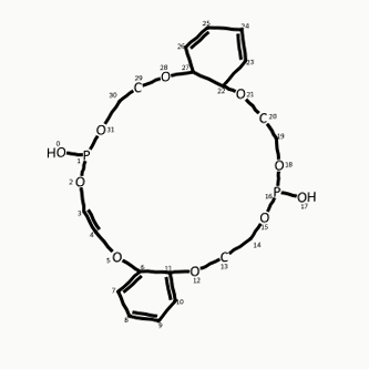 OP1O/C=C\Oc2ccccc2OCCOP(O)OCCOC2C=CC=CC2OCCO1